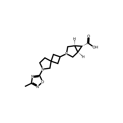 Cc1noc(N2CCC3(CC(N4C[C@@H]5[C@H](C4)[C@H]5C(=O)O)C3)C2)n1